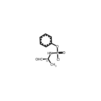 C[C@@H](C=O)NP(=O)(Cl)Oc1ccccc1